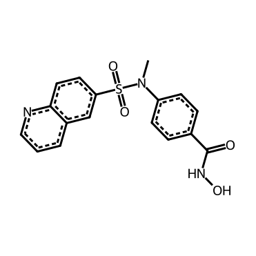 CN(c1ccc(C(=O)NO)cc1)S(=O)(=O)c1ccc2ncccc2c1